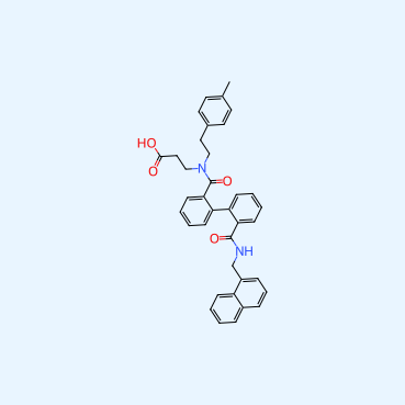 Cc1ccc(CCN(CCC(=O)O)C(=O)c2ccccc2-c2ccccc2C(=O)NCc2cccc3ccccc23)cc1